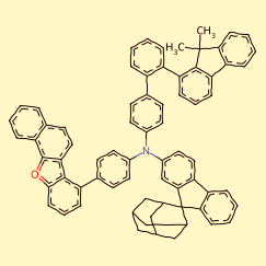 CC1(C)c2ccccc2-c2cccc(-c3ccccc3-c3ccc(N(c4ccc(-c5cccc6oc7c8ccccc8ccc7c56)cc4)c4ccc5c(c4)C4(c6ccccc6-5)C5CC6CC(C5)CC4C6)cc3)c21